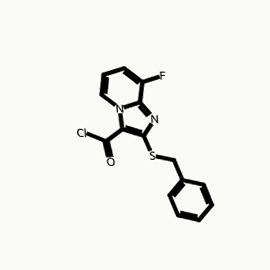 O=C(Cl)c1c(SCc2ccccc2)nc2c(F)cccn12